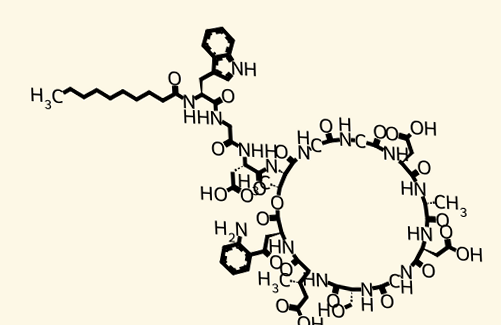 CCCCCCCCCC(=O)N[C@@H](Cc1c[nH]c2ccccc12)C(=O)NCC(=O)N[C@@H](CC(=O)O)C(=O)N[C@@H]1C(=O)NCC(=O)NCC(=O)N[C@@H](CC(=O)O)C(=O)N[C@H](C)C(=O)N[C@@H](CC(=O)O)C(=O)NCC(=O)N[C@H](CO)C(=O)NC([C@@H](C)CC(=O)O)C(=O)N[C@@H](CC(=O)c2ccccc2N)C(=O)O[C@@H]1C